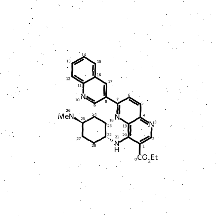 CCOC(=O)c1cnc2ccc(-c3cnc4ccccc4c3)nc2c1N[C@H]1CC[C@H](NC)CC1